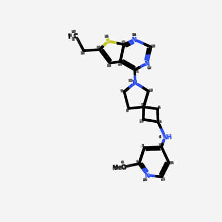 COc1cc(NC2CC3(CCN(c4ncnc5sc(CC(F)(F)F)cc45)C3)C2)ccn1